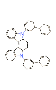 C1=CCC(C2=CC(N3C4=C(C=CCC4)C4=C5c6ccccc6N(C6=CC(C7C=CC=CC7)CC=C6)C5CCC43)CC=C2)C=C1